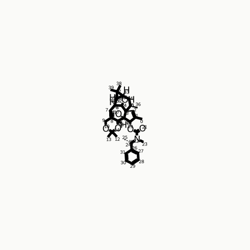 CC1=C[C@]23C(O)[C@@H](C=C4COC(C)(C)O[C@H]4[C@]2(O)[C@H]1OC(=O)N(C)[C@@H](C)c1ccccc1)[C@H]1[C@@H](C[C@H]3C)C1(C)C